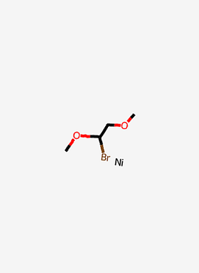 COCC(Br)OC.[Ni]